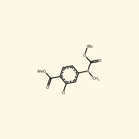 COC(=O)c1ccc(N(C)C(=O)OC(C)(C)C)cc1Cl